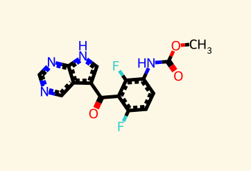 COC(=O)Nc1ccc(F)c(C(=O)c2c[nH]c3ncncc23)c1F